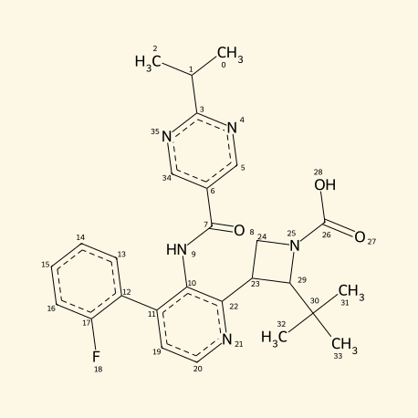 CC(C)c1ncc(C(=O)Nc2c(-c3ccccc3F)ccnc2C2CN(C(=O)O)C2C(C)(C)C)cn1